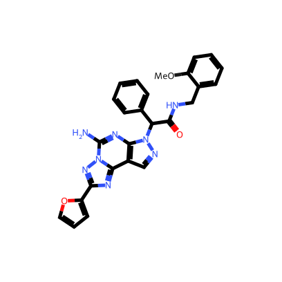 COc1ccccc1CNC(=O)C(c1ccccc1)n1ncc2c1nc(N)n1nc(-c3ccco3)nc21